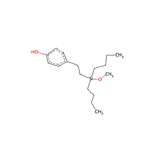 CCCC[Si](CCCC)(CCc1ccc(O)cc1)OC